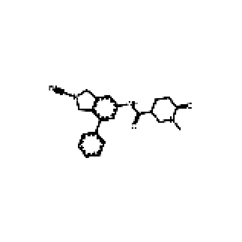 CN1CC(C(=O)Nc2cc3c(c(-c4ccccc4)c2)CN(C#N)C3)CCC1=O